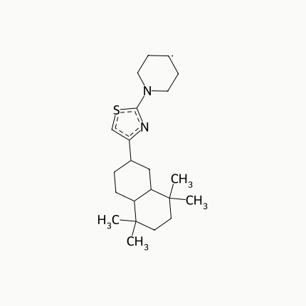 CC1(C)CCC(C)(C)C2CC(c3csc(N4CC[CH]CC4)n3)CCC21